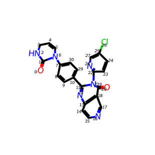 O=C1NCC=CN1c1ccc(-c2nc3ccncc3c(=O)n2-c2ccc(Cl)cn2)cc1